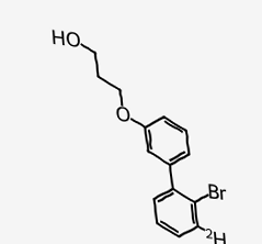 [2H]c1cccc(-c2cccc(OCCCO)c2)c1Br